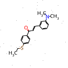 CCSc1ccc(C(=O)C=Cc2cccc(N(C)C)c2)cc1